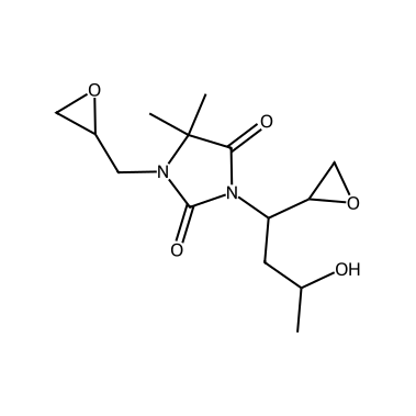 CC(O)CC(C1CO1)N1C(=O)N(CC2CO2)C(C)(C)C1=O